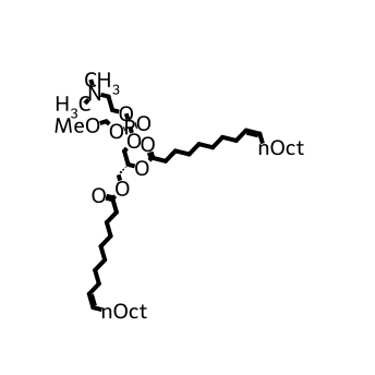 CCCCCCCC/C=C\CCCCCCCC(=O)OC[C@H](COP(=O)(OCCN(C)C)OCOC)OC(=O)CCCCCCC/C=C\CCCCCCCC